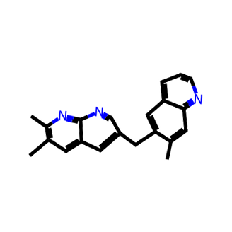 Cc1cc2ncccc2cc1Cc1cnc2nc(C)c(C)cc2c1